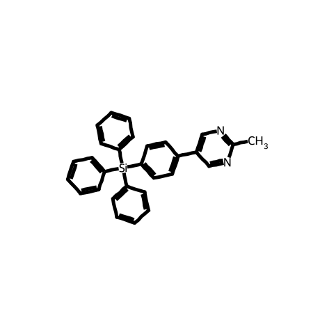 Cc1ncc(-c2ccc([Si](c3ccccc3)(c3ccccc3)c3ccccc3)cc2)cn1